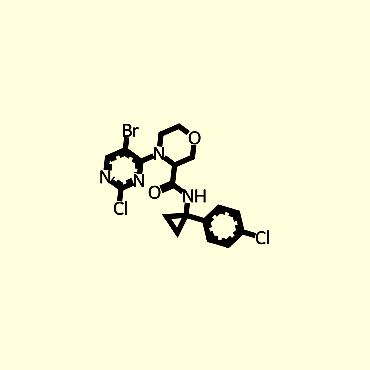 O=C(NC1(c2ccc(Cl)cc2)CC1)C1COCCN1c1nc(Cl)ncc1Br